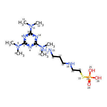 CN(C)c1nc(N(C)C)nc(N(C)C)n1.NCCCNCCSP(=O)(O)O